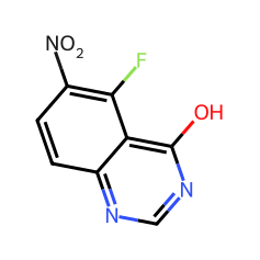 O=[N+]([O-])c1ccc2ncnc(O)c2c1F